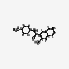 Cc1nc2ccncc2cc1C(=O)NC1CCC(C)CC1